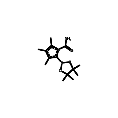 Cc1c(C)c(B2OC(C)(C)C(C)(C)O2)n(C(N)=O)c1C